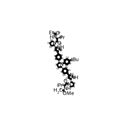 C=C(N[C@H](C(=O)N1CCC[C@H]1c1cc(-c2ccc([C@@H]3CC[C@H](c4ccc(-c5cc([C@@H]6CCCN6C(=O)[C@@H](NC(=O)CC)C(C)C)[nH]n5)cc4)N3c3ccc(C(C)(C)C)cc3)cc2)n[nH]1)C(C)C)OC